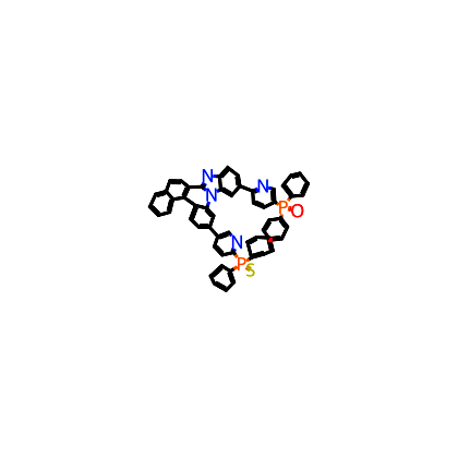 O=P(c1ccccc1)(c1ccccc1)c1ccc(-c2ccc3nc4c5ccc6ccccc6c5c5ccc(-c6ccc(P(=S)(c7ccccc7)c7ccccc7)nc6)cc5n4c3c2)nc1